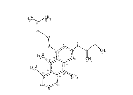 C=C(CC)Sc1cc(CCCC(C)C)c2c(=C)c3c(C)cccc3c(=C)c2c1